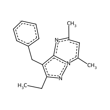 CCc1nn2c(C)cc(C)nc2c1Cc1cc[c]cc1